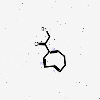 O=C(CBr)C1=C/CC/C=C/C=C\1